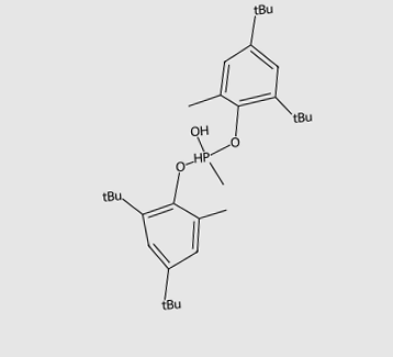 Cc1cc(C(C)(C)C)cc(C(C)(C)C)c1O[PH](C)(O)Oc1c(C)cc(C(C)(C)C)cc1C(C)(C)C